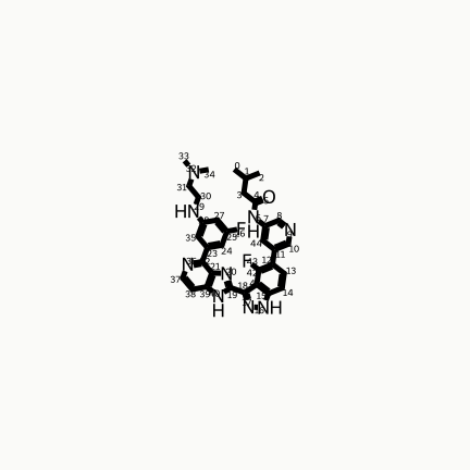 CC(C)CC(=O)Nc1cncc(-c2ccc3[nH]nc(-c4nc5c(-c6cc(F)cc(NCCN(C)C)c6)nccc5[nH]4)c3c2F)c1